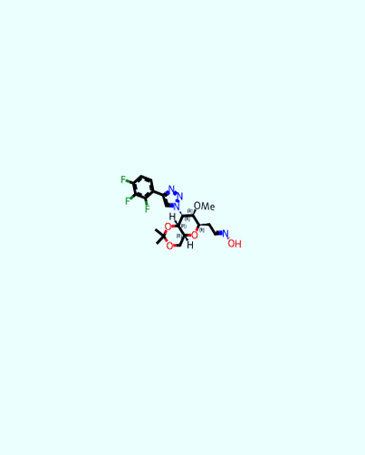 CO[C@@H]1[C@@H](n2cc(-c3ccc(F)c(F)c3F)nn2)[C@H]2OC(C)(C)OC[C@H]2O[C@@H]1CC=NO